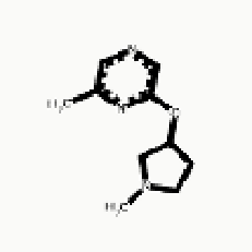 Cc1cncc(OC2CCN(C)C2)n1